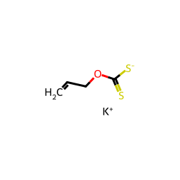 C=CCOC(=S)[S-].[K+]